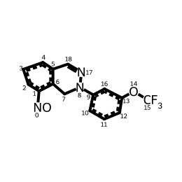 O=Nc1cccc2c1CN(c1cccc(OC(F)(F)F)c1)N=C2